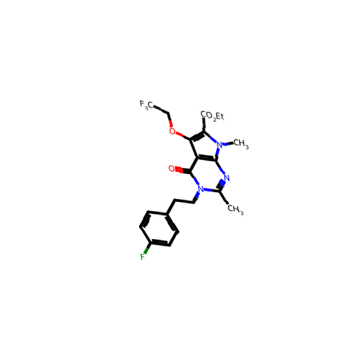 CCOC(=O)c1c(OCC(F)(F)F)c2c(=O)n(CCc3ccc(F)cc3)c(C)nc2n1C